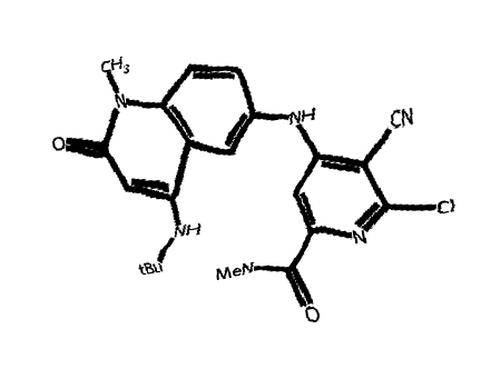 CNC(=O)c1cc(Nc2ccc3c(c2)c(NC(C)(C)C)cc(=O)n3C)c(C#N)c(Cl)n1